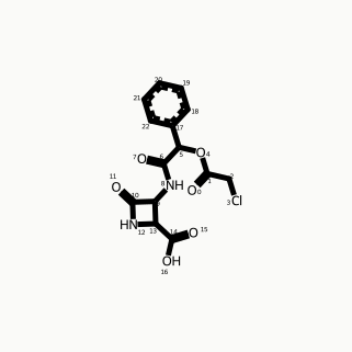 O=C(CCl)OC(C(=O)NC1C(=O)NC1C(=O)O)c1ccccc1